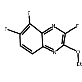 CCOc1nc2ccc(F)c(F)c2nc1F